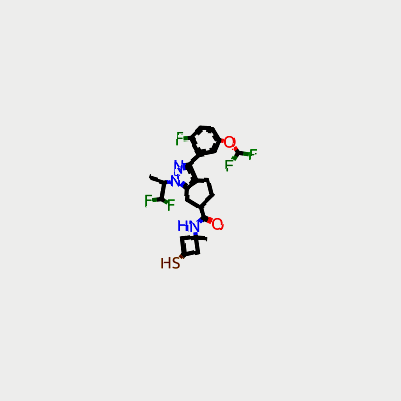 CC(C(F)F)n1nc(-c2cc(OC(F)F)ccc2F)c2c1CC(C(=O)NC1(C)CC(S)C1)CC2